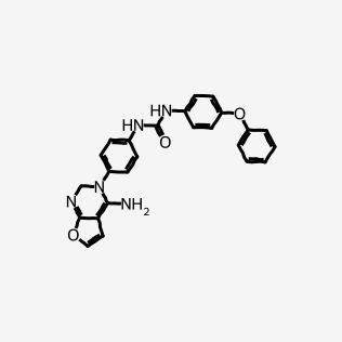 NC1=c2ccoc2=NCN1c1ccc(NC(=O)Nc2ccc(Oc3ccccc3)cc2)cc1